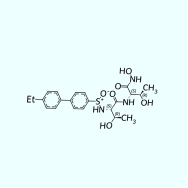 CCc1ccc(-c2ccc([S+]([O-])N[C@H](C(=O)N[C@H](C(=O)NO)[C@@H](C)O)[C@@H](C)O)cc2)cc1